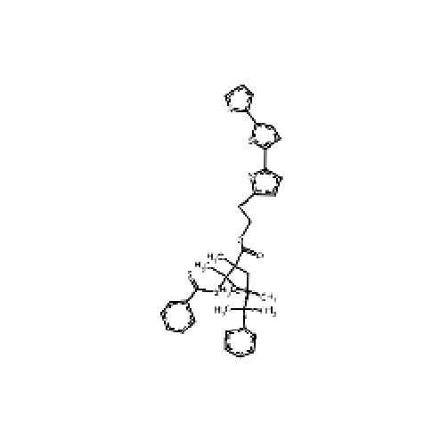 CC(C)(CC(C)(C(=O)OCCc1ccc(-c2ccc(-c3cccs3)s2)s1)C(C)(C)SC(=S)c1ccccc1)C(C)(C)c1ccccc1